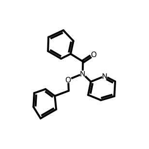 O=C(c1ccccc1)N(OCc1ccccc1)c1ccccn1